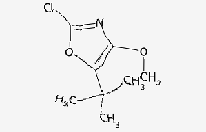 COc1nc(Cl)oc1C(C)(C)C